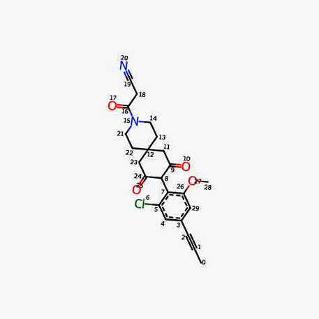 CC#Cc1cc(Cl)c(C2C(=O)CC3(CCN(C(=O)CC#N)CC3)CC2=O)c(OC)c1